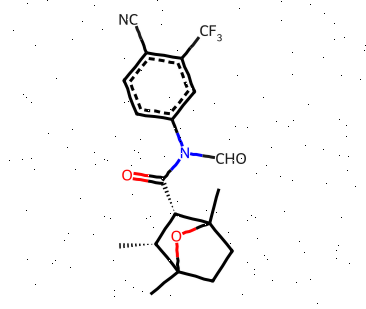 C[C@@H]1[C@H](C(=O)N(C=O)c2ccc(C#N)c(C(F)(F)F)c2)C2(C)CCC1(C)O2